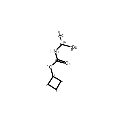 CC(=O)[C@@H](NC(=O)OC1CCC1)C(C)(C)C